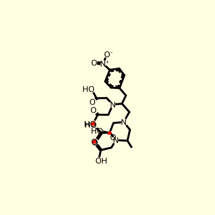 CC(CN(CC(=O)O)CC(Cc1ccc([N+](=O)[O-])cc1)N(CC(=O)O)CC(=O)O)N(CC(=O)O)CC(=O)O